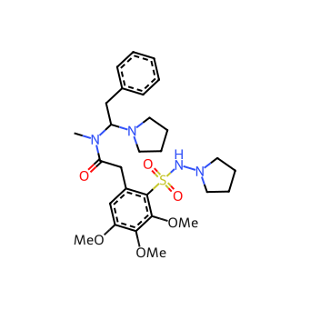 COc1cc(CC(=O)N(C)C(Cc2ccccc2)N2CCCC2)c(S(=O)(=O)NN2CCCC2)c(OC)c1OC